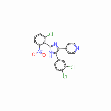 O=[N+]([O-])c1cccc(Cl)c1-c1nc(-c2ccncc2)c(-c2ccc(Cl)c(Cl)c2)[nH]1